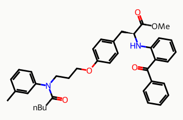 CCCCC(=O)N(CCCOc1ccc(C[C@H](Nc2ccccc2C(=O)c2ccccc2)C(=O)OC)cc1)c1cccc(C)c1